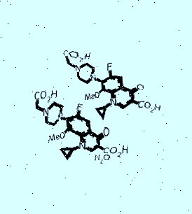 COc1c(N2CCN(CC(=O)O)CC2)c(F)cc2c(=O)c(C(=O)O)cn(C3CC3)c12.COc1c(N2CCN(CC(=O)O)CC2)c(F)cc2c(=O)c(C(=O)O)cn(C3CC3)c12.O